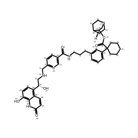 O=C(NCCCc1cccc(C2(C(=O)O[C@H]3CN4CCC3CC4)CCCCC2)c1)c1ccc(CNC[C@H](O)c2ccc(O)c3[nH]c(=O)ccc23)nc1